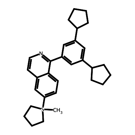 CS1(c2ccc3c(-c4cc(C5CCCC5)cc(C5CCCC5)c4)nccc3c2)CCCC1